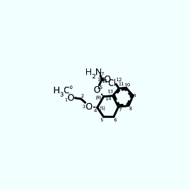 COCO[C@H]1CCc2cccc(Cl)c2[C@H]1OC(N)=O